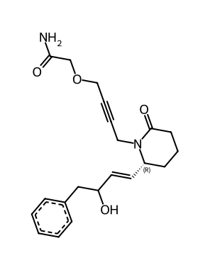 NC(=O)COCC#CCN1C(=O)CCC[C@@H]1C=CC(O)Cc1ccccc1